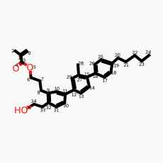 C=C(C)C(=O)OCCCc1cc(-c2ccc(-c3ccc(CCCCC)cc3)c(C)c2)ccc1CCO